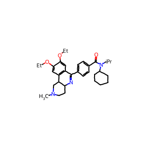 CCOc1cc2c(cc1OCC)C1CN(C)CCC1N=C2c1ccc(C(=O)N(C(C)C)C2CCCCC2)cc1